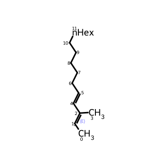 C/[C]=C(\C)C=CCCCCCCCCCCC